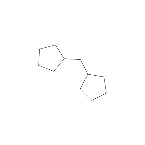 [CH]1CCCC1CC1[CH]CCC1